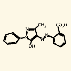 Cc1nn(-c2ccccc2)c(O)c1/N=N/c1ccccc1C(=O)O